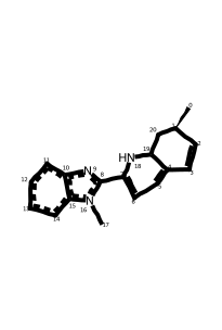 C[C@H]1C=CC2=CC=C(c3nc4ccccc4n3C)NC2C1